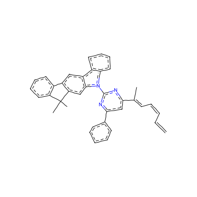 C=C/C=C\C=C(/C)c1cc(-c2ccccc2)nc(-n2c3ccccc3c3cc4c(cc32)C(C)(C)c2ccccc2-4)n1